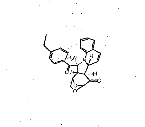 CCc1ccc(C(=O)[C@]2(N)[C@H]3C4COC(O4)C(=O)[C@@H]3[C@H]3C=Cc4ccccc4N32)cc1